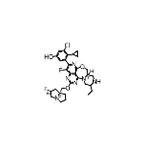 CCC1CN2c3nc(OC[C@@]45CCCN4C[C@@H](F)C5)nc4c(F)c(-c5cc(O)cc(Cl)c5C5CC5)nc(c34)OC[C@@H]2CN1